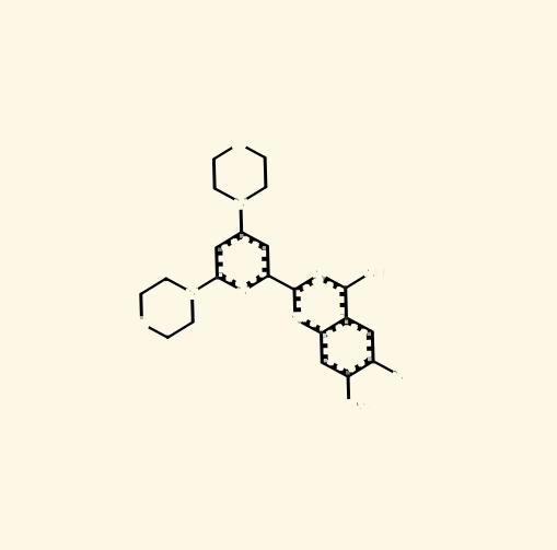 COc1cc2nc(-c3cc(N4CCOCC4)cc(N4CCOCC4)n3)nc(N)c2cc1N